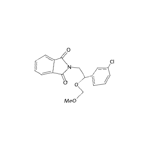 COCOC(CN1C(=O)c2ccccc2C1=O)c1cccc(Cl)c1